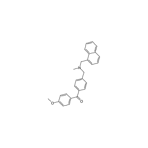 COc1ccc(C(=O)c2ccc(CN(C)Cc3cccc4ccccc34)cc2)cc1